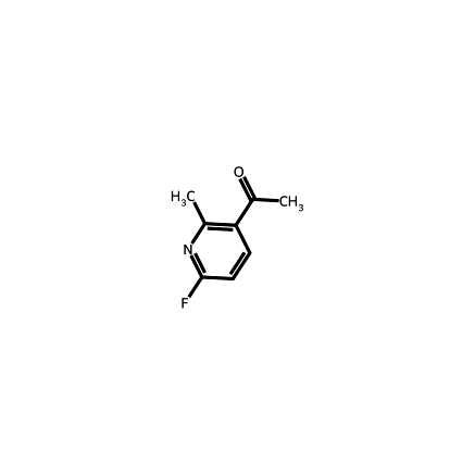 CC(=O)c1ccc(F)nc1C